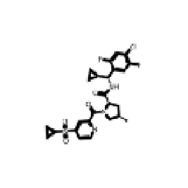 C[C@@H]1C[C@H](C(=O)N[C@@H](c2cc(F)c(Cl)cc2F)C2CC2)N(C(=O)c2cc(S(=O)(=O)C3CC3)ccn2)C1